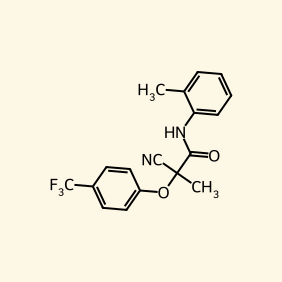 Cc1ccccc1NC(=O)C(C)(C#N)Oc1ccc(C(F)(F)F)cc1